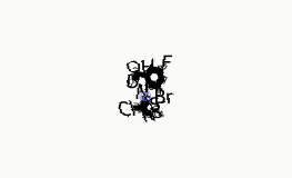 O=C(O)c1cc(F)cc(Br)c1/N=c1\ssnc1Cl